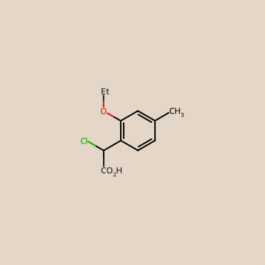 CCOc1cc(C)ccc1C(Cl)C(=O)O